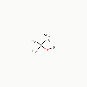 CCO[Si](C)(C)C.[SiH4]